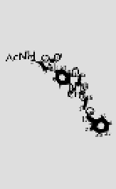 CC(=O)NC[C@H]1CN(c2ccc3c(c2)OCC(=NOCCOCc2ccccc2)N3C)C(=O)O1